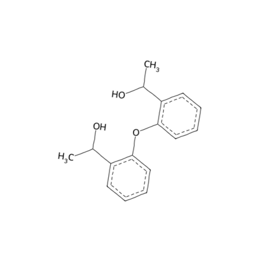 CC(O)c1ccccc1Oc1ccccc1C(C)O